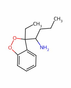 CCCC(N)C1(CC)OOc2ccccc21